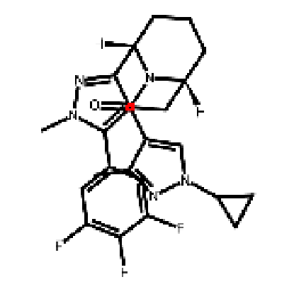 Cc1nn(C2CC2)cc1C(=O)N1[C@@H]2CCC[C@H]1c1nn(C)c(-c3cc(F)c(F)c(F)c3)c1C2